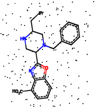 CC(C)CC1CN(Cc2ccccc2)C(c2nc3c(C(=O)O)cccc3o2)CN1